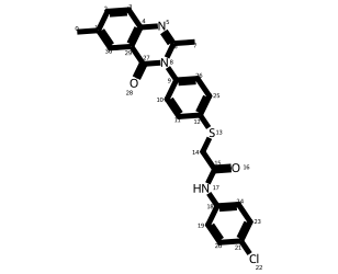 Cc1ccc2nc(C)n(-c3ccc(SCC(=O)Nc4ccc(Cl)cc4)cc3)c(=O)c2c1